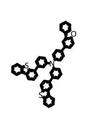 c1cc(-c2ccc3sc4ccccc4c3c2)cc(N(c2ccc(-c3ccc4oc5ccccc5c4c3)cc2)c2cccc(-c3cccc4c3sc3ccccc34)c2)c1